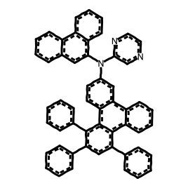 c1ccc(-c2cc(-c3ccccc3)c3c4ccccc4c4cc(N(c5cnccn5)c5cc6ccccc6c6ccccc56)ccc4c3c2-c2ccccc2)cc1